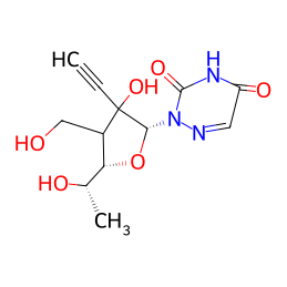 C#CC1(O)C(CO)[C@@H]([C@H](C)O)O[C@H]1n1ncc(=O)[nH]c1=O